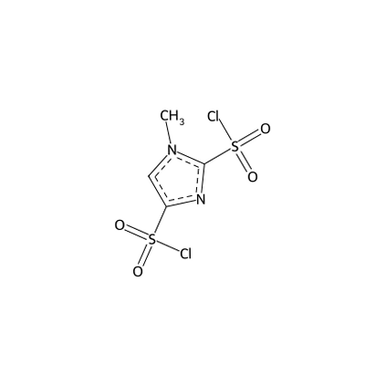 Cn1cc(S(=O)(=O)Cl)nc1S(=O)(=O)Cl